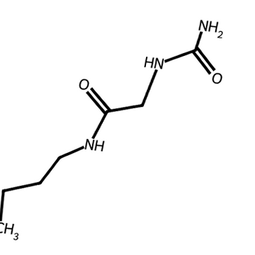 CCCCNC(=O)CNC(N)=O